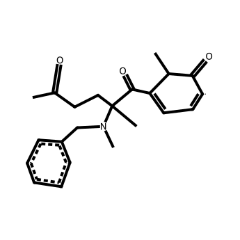 CC(=O)CCC(C)(C(=O)C1=CC=[C]C(=O)C1C)N(C)Cc1ccccc1